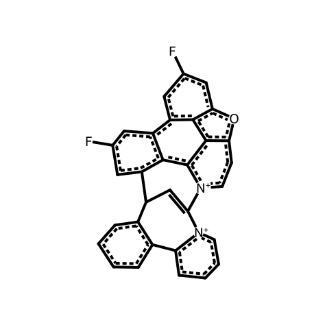 Fc1cc2c3c(c1)c1cc(F)cc4oc5cc[n+](c3c5c41)C1=CC2c2ccccc2-c2cccc[n+]21